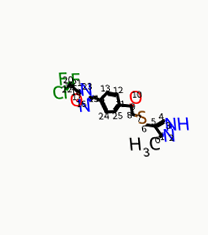 Cc1n[nH]cc1CSCC(=O)c1ccc(-c2noc(C(F)(F)Cl)n2)cc1